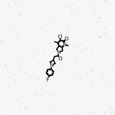 Cc1c2c(n(C)c(=O)c1Cl)CN(C(=O)CC1CN(c3ccc(F)cc3)C1)C2